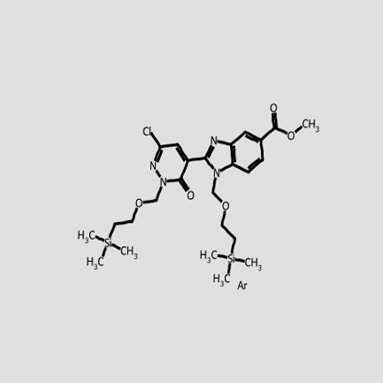 COC(=O)c1ccc2c(c1)nc(-c1cc(Cl)nn(COCC[Si](C)(C)C)c1=O)n2COCC[Si](C)(C)C.[Ar]